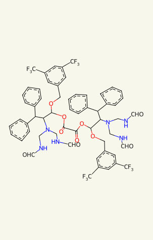 O=CNCN(CNC=O)C(C(OCc1cc(C(F)(F)F)cc(C(F)(F)F)c1)OC(=O)C(=O)OC(OCc1cc(C(F)(F)F)cc(C(F)(F)F)c1)C(C(c1ccccc1)c1ccccc1)N(CNC=O)CNC=O)C(c1ccccc1)c1ccccc1